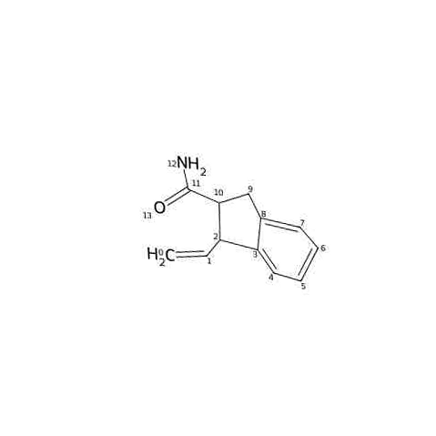 C=CC1c2ccccc2CC1C(N)=O